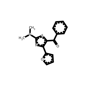 CN(C)c1nc(-c2ccco2)c(C(=O)c2ccccc2)s1